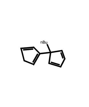 CCCCC1(C2=[C]CC=C2)C=CC=C1